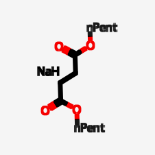 CCCCCOC(=O)CCC(=O)OCCCCC.[NaH]